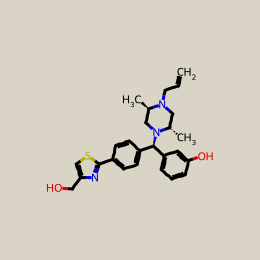 C=CCN1C[C@H](C)N([C@H](c2ccc(-c3nc(CO)cs3)cc2)c2cccc(O)c2)C[C@H]1C